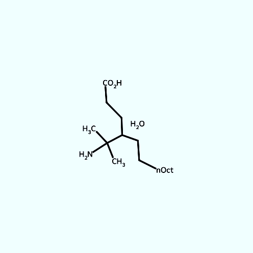 CCCCCCCCCCC(CCC(=O)O)C(C)(C)N.O